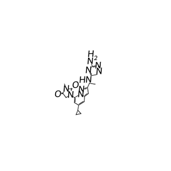 CC(Nc1cnnc(N)n1)c1cc2cc(C3CC3)cc(N3CC(=O)N(C)C3=O)n2n1